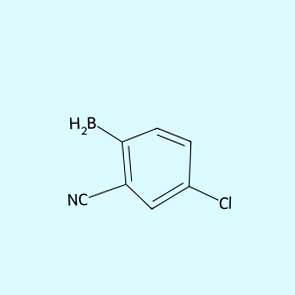 Bc1ccc(Cl)cc1C#N